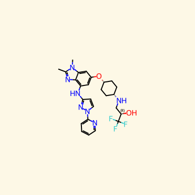 Cc1nc2c(Nc3ccn(-c4ccccn4)n3)cc(O[C@H]3CC[C@@H](NC[C@@H](O)C(F)(F)F)CC3)cc2n1C